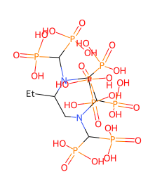 CCC(CN(C(P(=O)(O)O)P(=O)(O)O)C(P(=O)(O)O)P(=O)(O)O)N(C(P(=O)(O)O)P(=O)(O)O)C(P(=O)(O)O)P(=O)(O)O